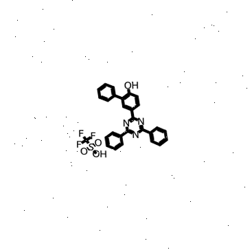 O=S(=O)(O)C(F)(F)F.Oc1ccc(-c2nc(-c3ccccc3)nc(-c3ccccc3)n2)cc1-c1ccccc1